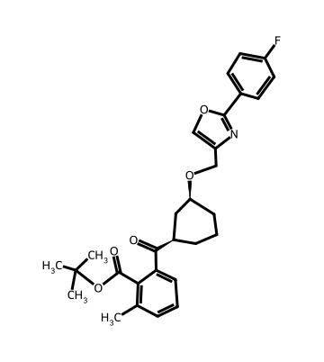 Cc1cccc(C(=O)[C@@H]2CCC[C@H](OCc3coc(-c4ccc(F)cc4)n3)C2)c1C(=O)OC(C)(C)C